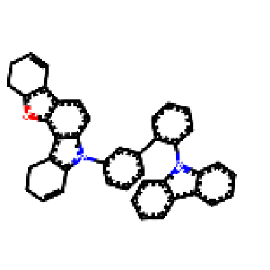 C1=Cc2c(oc3c2ccc2c3c3c(n2-c2cccc(-c4ccccc4-n4c5ccccc5c5ccccc54)c2)C=CCC3)CC1